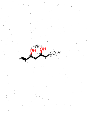 C=CC(O)CC(O)CC(=O)O.[Na]